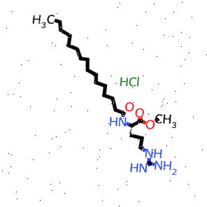 CCCCCCCCCCCCCCCC(=O)N[C@@H](CCCNC(=N)N)C(=O)OC.Cl